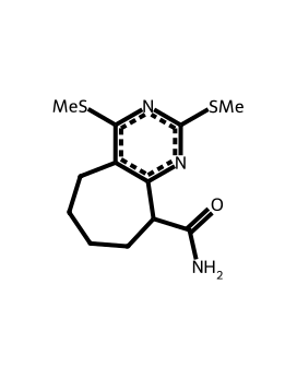 CSc1nc(SC)c2c(n1)C(C(N)=O)CCCC2